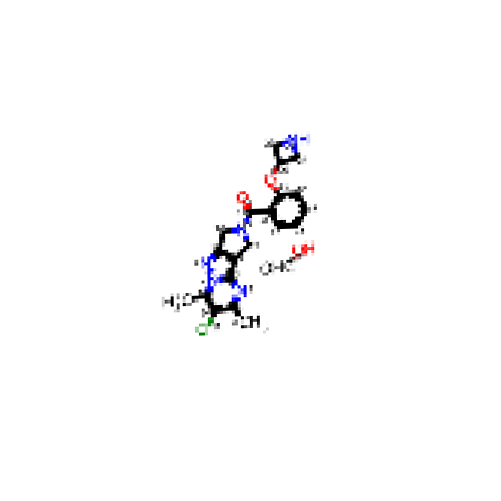 Cc1nc2c3c(nn2c(C)c1Cl)CN(C(=O)c1ccccc1OC1CNC1)C3.O=CO